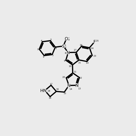 [O-][S+](c1ccccc1)n1cc(-c2cnn(CC3CNC3)c2)c2ccc(F)cc21